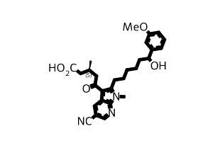 COc1cccc(C(O)CCCCCc2c(C(=O)C[C@H](C)CC(=O)O)c3cc(C#N)cnc3n2C)c1